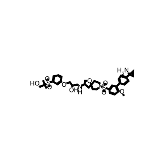 COc1ccc(S(=O)(=O)N2CCC3(CC2)CC(NCC(O)COc2cccc(S(=O)(=O)C(C)(C)CO)c2)CO3)cc1-c1ccc(C2(N)CC2)cc1